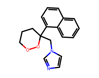 c1ccc2c(C3(Cn4ccnc4)CCCOO3)cccc2c1